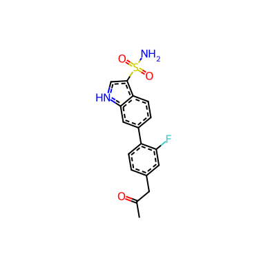 CC(=O)Cc1ccc(-c2ccc3c(S(N)(=O)=O)c[nH]c3c2)c(F)c1